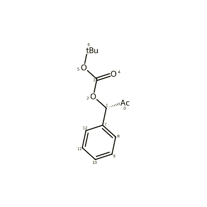 CC(=O)[C@@H](OC(=O)OC(C)(C)C)c1ccccc1